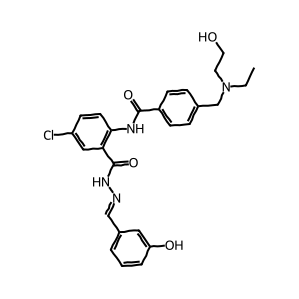 CCN(CCO)Cc1ccc(C(=O)Nc2ccc(Cl)cc2C(=O)NN=Cc2cccc(O)c2)cc1